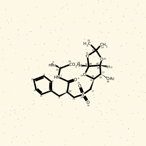 CCCC[C@H](NC(=O)[C@H](Cc1ccccc1)CS(=O)(=O)C[C@H]1O[C@@H]2OC(C)(C)O[C@@H]2[C@@H]1OC(C)=O)C(=O)O